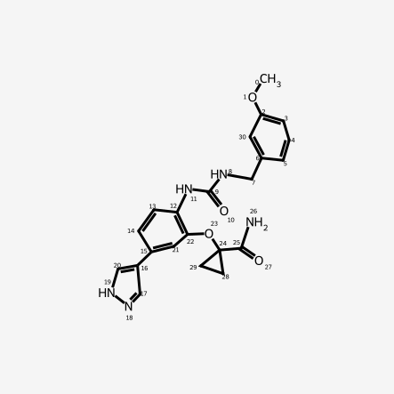 COc1cccc(CNC(=O)Nc2ccc(-c3cn[nH]c3)cc2OC2(C(N)=O)CC2)c1